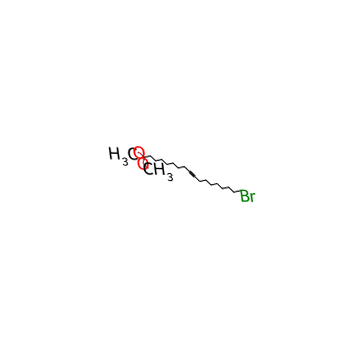 COC(CCCCCCCC#CCCCCCCCCBr)OC